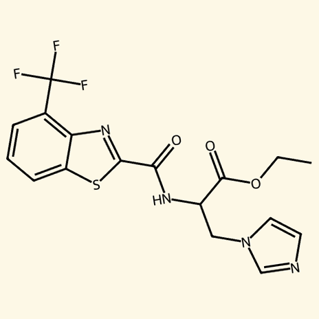 CCOC(=O)C(Cn1ccnc1)NC(=O)c1nc2c(C(F)(F)F)cccc2s1